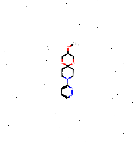 COC1COC2(CCN(c3cc[c]nn3)CC2)OC1